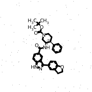 CC(C)(C)OC(=O)N1CC[C@@H](c2ccccc2)[C@H](NC(=O)c2ccc3[nH]nc(-c4ccc5c(c4)CCO5)c3c2)C1